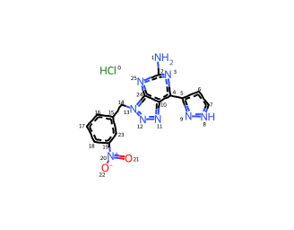 Cl.Nc1nc(-c2cc[nH]n2)c2nnn(Cc3cccc([N+](=O)[O-])c3)c2n1